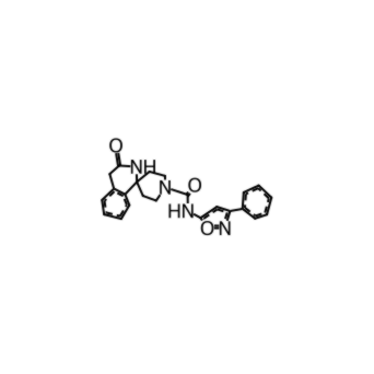 O=C1Cc2ccccc2C2(CCN(C(=O)Nc3cc(-c4ccccc4)no3)CC2)N1